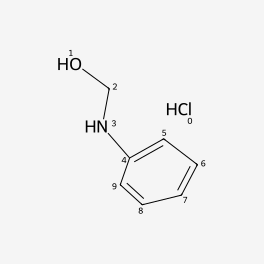 Cl.OCNc1ccccc1